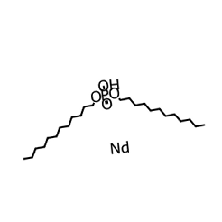 CCCCCCCCCCCCOP(=O)(O)OCCCCCCCCCCCC.[Nd]